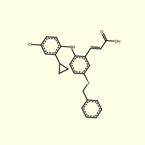 O=C(O)/C=C/c1cc(SCc2ccccc2)ccc1Nc1ccc(Cl)cc1C1CC1